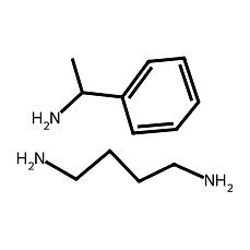 CC(N)c1ccccc1.NCCCCN